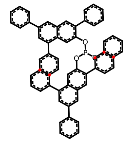 c1ccc(OP(Oc2cc3c(-c4ccccc4)cc(-c4ccccc4)cc3cc2-c2ccccc2)Oc2cc3c(-c4ccccc4)cc(-c4ccccc4)cc3cc2-c2ccccc2)cc1